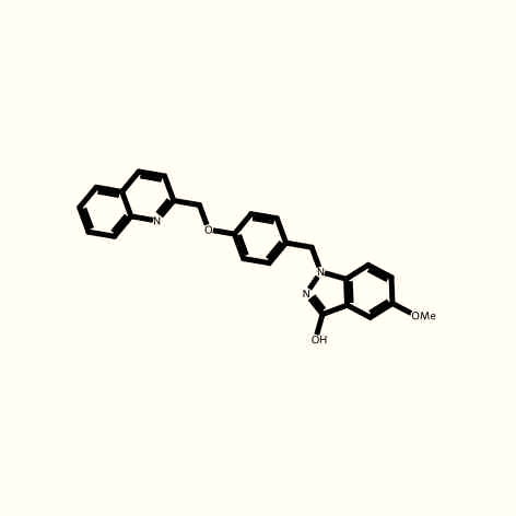 COc1ccc2c(c1)c(O)nn2Cc1ccc(OCc2ccc3ccccc3n2)cc1